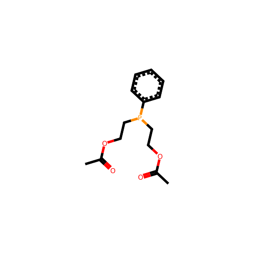 CC(=O)OCCP(CCOC(C)=O)c1ccccc1